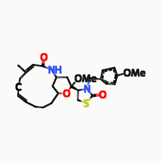 COc1ccc(CN2C(=O)SC[C@H]2C2(OC)CC3CC(CCCC=CCCC(C)=CC(=O)N3)O2)cc1